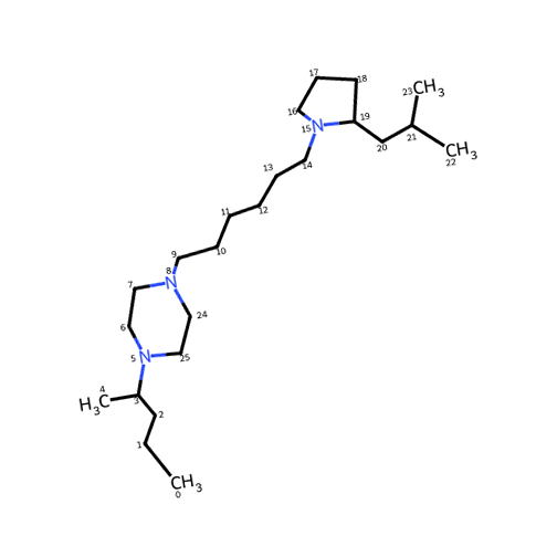 CCCC(C)N1CCN(CCCCCCN2CCCC2CC(C)C)CC1